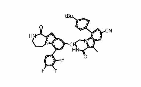 Cc1c2n(c3c(-c4ccc(C(C)(C)C)cc4)cc(C#N)cc13)CCNC2=O.N#Cc1cc(-c2ccc(F)c(F)c2F)c2c(c1)cc1n2CCCNC1=O